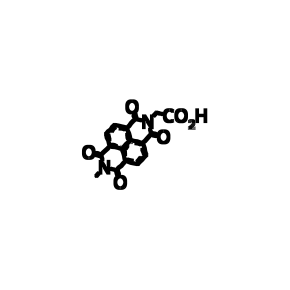 CN1C(=O)c2ccc3c4c(ccc(c24)C1=O)C(=O)N(CC(=O)O)C3=O